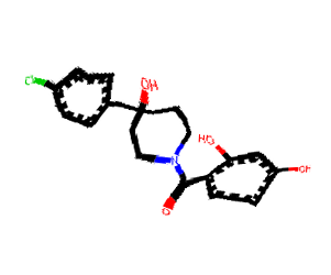 O=C(c1ccc(O)cc1O)N1CCC(O)(c2ccc(Cl)cc2)CC1